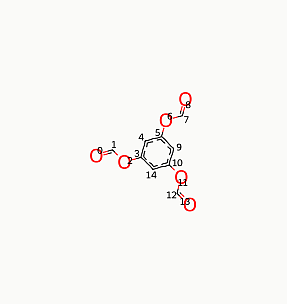 O=COc1cc(OC=O)cc(OC=O)c1